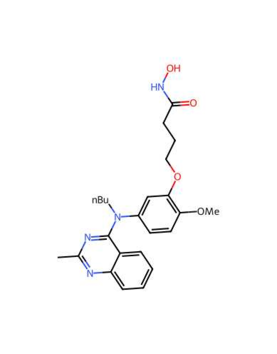 CCCCN(c1ccc(OC)c(OCCCC(=O)NO)c1)c1nc(C)nc2ccccc12